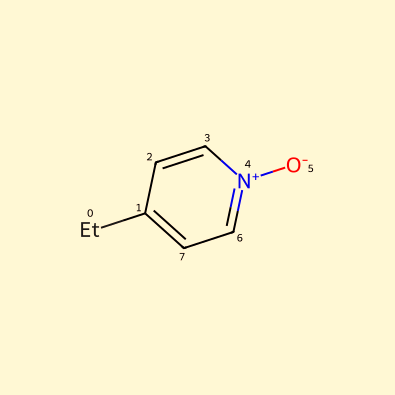 CCc1cc[n+]([O-])cc1